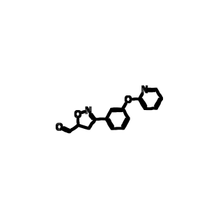 O=CC1CC(c2cccc(Oc3ccccn3)c2)=NO1